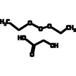 CCOOOCC.O=C(O)CO